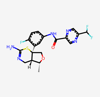 C[C@H]1OC[C@]2(c3cc(NC(=O)c4cnc(C(F)F)cn4)ccc3F)SC(N)=NC[C@@H]12